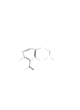 O=C(O)c1c(O)ccc2c1OB(O)CO2